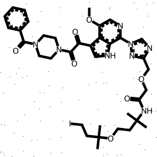 COc1cnc(-n2cnc(COCC(=O)NC(C)(C)CCOC(C)(C)CCI)n2)c2[nH]cc(C(=O)C(=O)N3CCN(C(=O)c4ccccc4)CC3)c12